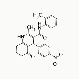 CC1=C(C(=O)Nc2ccccc2C)C(c2ccc([N+](=O)[O-])cc2)C2=C(CCCC2=O)N1